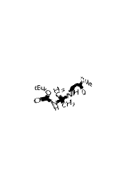 COC(=O)CNC(C)(C)NC(=O)OC(C)(C)C